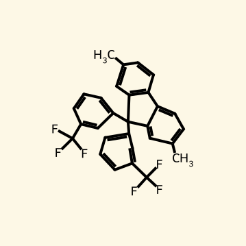 Cc1ccc2c(c1)C(c1cccc(C(F)(F)F)c1)(c1cccc(C(F)(F)F)c1)c1cc(C)ccc1-2